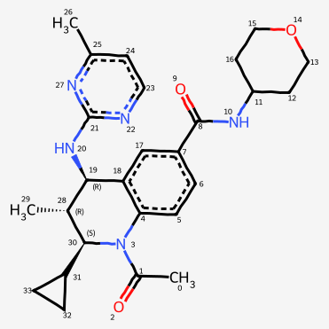 CC(=O)N1c2ccc(C(=O)NC3CCOCC3)cc2[C@H](Nc2nccc(C)n2)[C@@H](C)[C@@H]1C1CC1